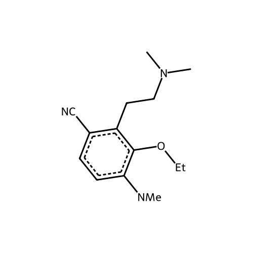 CCOc1c(NC)ccc(C#N)c1CCN(C)C